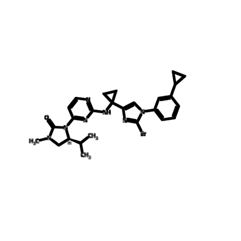 CC(C)[C@H]1CN(C)C(=O)N1c1ccnc(NC2(c3cn(-c4cccc(C5CC5)c4)c(Br)n3)CC2)n1